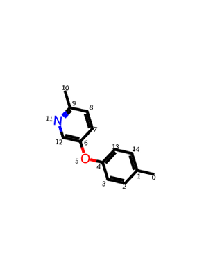 Cc1ccc(Oc2ccc(C)nc2)cc1